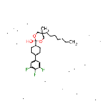 CCCCCCCC1(C)COC(O)(C2CCC(c3cc(F)c(F)c(F)c3)CC2)OC1